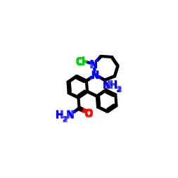 NC(=O)c1cccc(N2CCCCCN2Cl)c1-c1ccccc1N